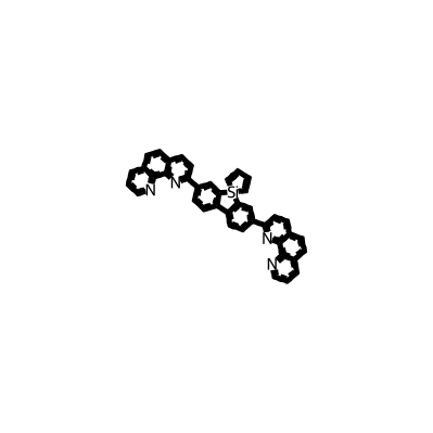 C1=C[Si]2(C=C1)c1cc(-c3ccc4ccc5cccnc5c4n3)ccc1-c1ccc(-c3ccc4ccc5cccnc5c4n3)cc12